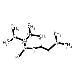 CC(C)[N](CCCN(C)C)[Al]([N](C)C)[N](C)C